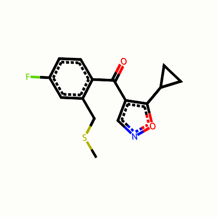 CSCc1cc(F)ccc1C(=O)c1cnoc1C1CC1